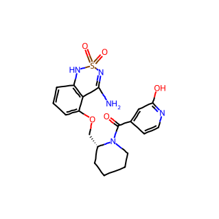 NC1=NS(=O)(=O)Nc2cccc(OC[C@H]3CCCCN3C(=O)c3ccnc(O)c3)c21